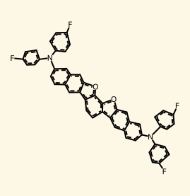 Fc1ccc(N(c2ccc(F)cc2)c2ccc3cc4c(cc3c2)oc2c4ccc3c4cc5ccc(N(c6ccc(F)cc6)c6ccc(F)cc6)cc5cc4oc32)cc1